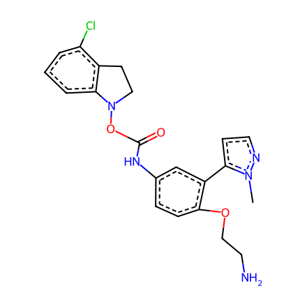 Cn1nccc1-c1cc(NC(=O)ON2CCc3c(Cl)cccc32)ccc1OCCN